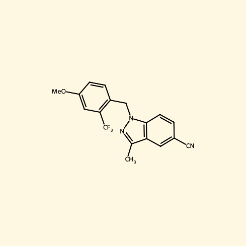 COc1ccc(Cn2nc(C)c3cc(C#N)ccc32)c(C(F)(F)F)c1